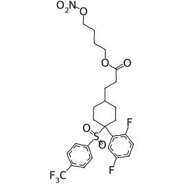 O=C(CCC1CCC(c2cc(F)ccc2F)(S(=O)(=O)c2ccc(C(F)(F)F)cc2)CC1)OCCCCO[N+](=O)[O-]